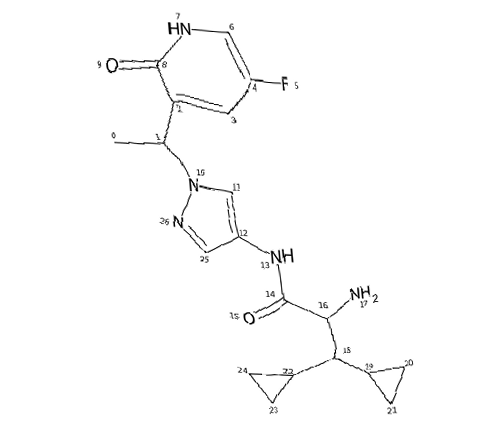 CC(c1cc(F)c[nH]c1=O)n1cc(NC(=O)C(N)C(C2CC2)C2CC2)cn1